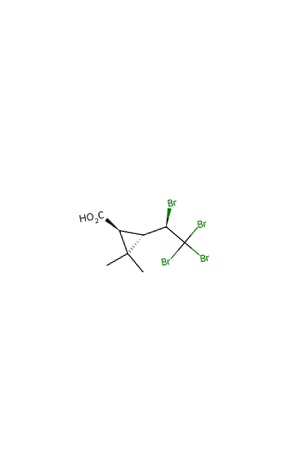 CC1(C)[C@@H]([C@@H](Br)C(Br)(Br)Br)[C@@H]1C(=O)O